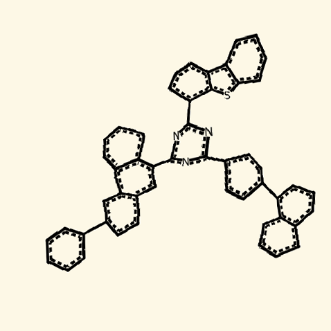 c1ccc(-c2ccc3cc(-c4nc(-c5ccc(-c6cccc7ccccc67)cc5)nc(-c5cccc6c5sc5ccccc56)n4)c4ccccc4c3c2)cc1